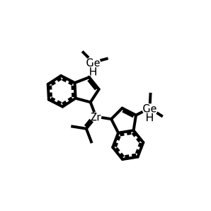 C[C](C)=[Zr]([CH]1C=[C]([GeH]([CH3])[CH3])c2ccccc21)[CH]1C=[C]([GeH]([CH3])[CH3])c2ccccc21